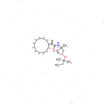 CCC(C)(C)OCCC(C)(C)NC(=O)BC1CCCCCCCCCCC1